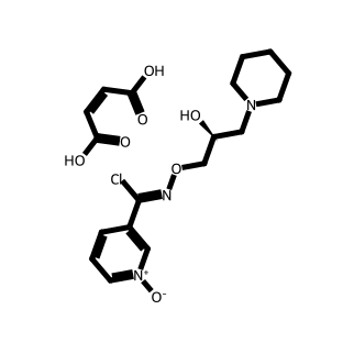 O=C(O)/C=C\C(=O)O.[O-][n+]1cccc(C(Cl)=NOC[C@@H](O)CN2CCCCC2)c1